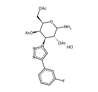 CC(=O)OC[C@H]1OC(N)[C@H](OC(C)=O)[C@@H](n2cc(-c3cccc(F)c3)nn2)[C@H]1OC(C)=O.Cl